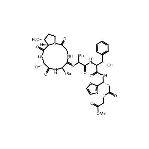 COC(=O)CSC(=O)C[C@@H](NC(=O)C(NC(=O)C(/N=C1\NCC(=O)N2CC[C@@H](C)[C@H]2C(=O)N[C@@H](C(C)C)C(=O)NC1C(C)(C)C)C(C)(C)C)[C@@H](C)c1ccccc1)c1nccs1